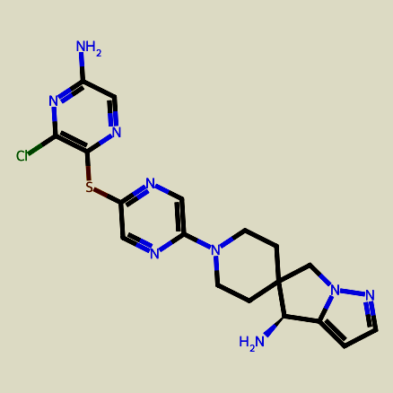 Nc1cnc(Sc2cnc(N3CCC4(CC3)Cn3nccc3[C@H]4N)cn2)c(Cl)n1